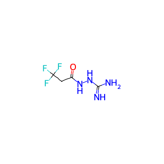 N=C(N)NNC(=O)CC(F)(F)F